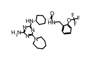 Nc1nc(N[C@H]2CC[C@@H](C(=O)NCc3ccccc3OC(F)(F)F)CC2)nc(N2CCCCCC2)n1